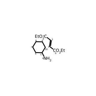 CCOC(=O)C=CC(=O)OCC.NC1CCCCC1